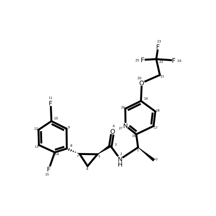 C[C@@H](NC(=O)[C@H]1C[C@@H]1c1cc(F)ccc1F)c1ccc(OCC(F)(F)F)cn1